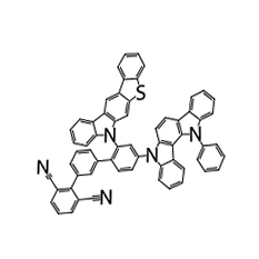 N#Cc1cccc(C#N)c1-c1cccc(-c2ccc(-n3c4ccccc4c4c3ccc3c5ccccc5n(-c5ccccc5)c34)cc2-n2c3ccccc3c3cc4c(cc32)sc2ccccc24)c1